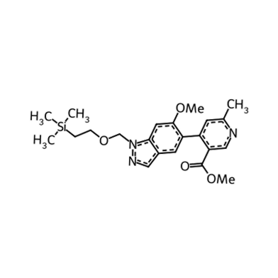 COC(=O)c1cnc(C)cc1-c1cc2cnn(COCC[Si](C)(C)C)c2cc1OC